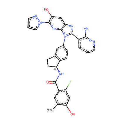 Nc1ncccc1-c1nc2cc(O)c(-n3cccn3)nc2n1-c1ccc2c(c1)CC[C@@H]2NC(=O)c1cc(C=O)c(O)cc1F